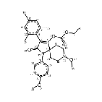 CCOC(=O)OC1=C(c2c(C)cc(C)cc2C)C(=O)N(c2ccc(OC)cc2)C12CCN(OC)CC2